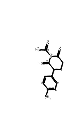 Nc1ccc(C2CCC(=O)N(C(=O)O)C2=O)cc1